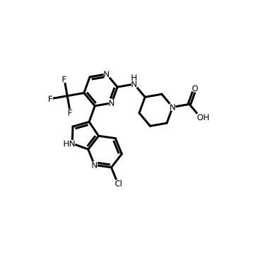 O=C(O)N1CCCC(Nc2ncc(C(F)(F)F)c(-c3c[nH]c4nc(Cl)ccc34)n2)C1